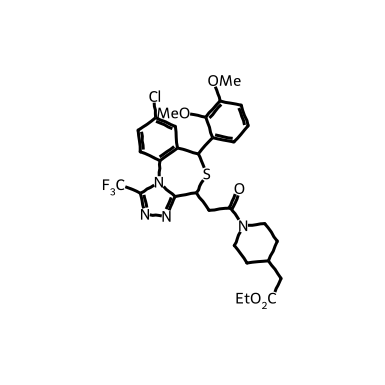 CCOC(=O)CC1CCN(C(=O)CC2SC(c3cccc(OC)c3OC)c3cc(Cl)ccc3-n3c2nnc3C(F)(F)F)CC1